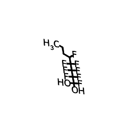 CCCC(F)C(F)(F)C(F)(F)C(F)(F)C(O)(O)F